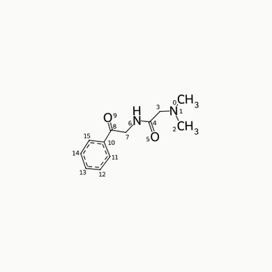 CN(C)CC(=O)NCC(=O)c1ccccc1